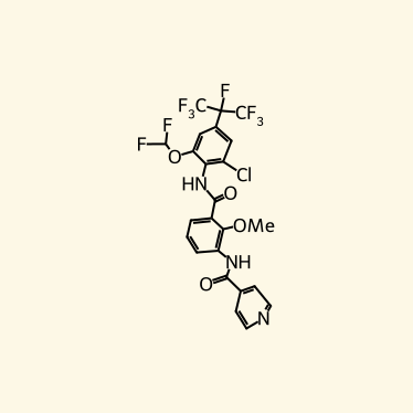 COc1c(NC(=O)c2ccncc2)cccc1C(=O)Nc1c(Cl)cc(C(F)(C(F)(F)F)C(F)(F)F)cc1OC(F)F